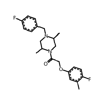 Cc1cc(OCC(=O)N2CC(C)N(Cc3ccc(F)cc3)CC2C)ccc1F